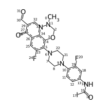 CN1COc2c(N3CCN(c4ccc(NC(=O)I)cc4F)CC3)c(F)cc3c(=O)c(C=O)cn1c23